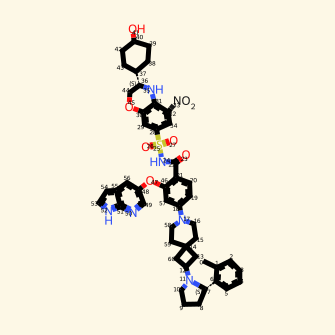 Cc1ccccc1[C@@H]1CCCN1C1CC2(CCN(c3ccc(C(=O)NS(=O)(=O)c4cc5c(c([N+](=O)[O-])c4)N[C@@H](C4CCC(O)CC4)CO5)c(Oc4cnc5[nH]ccc5c4)c3)CC2)C1